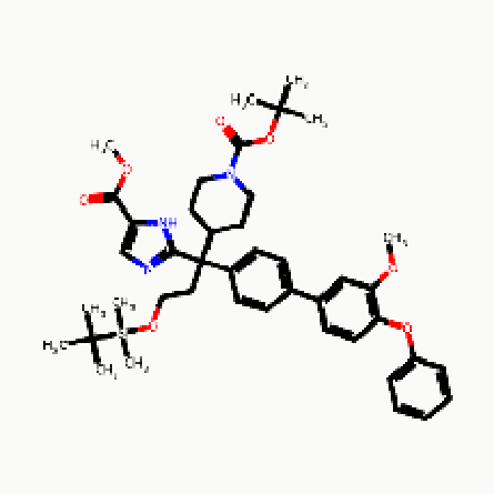 COC(=O)c1cnc(C(CCO[Si](C)(C)C(C)(C)C)(c2ccc(-c3ccc(Oc4ccccc4)c(OC)c3)cc2)C2CCN(C(=O)OC(C)(C)C)CC2)[nH]1